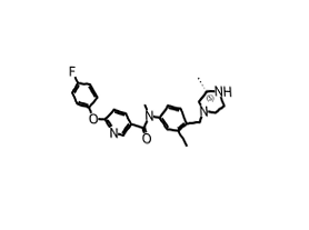 Cc1cc(N(C)C(=O)c2ccc(Oc3ccc(F)cc3)nc2)ccc1CN1CCN[C@@H](C)C1